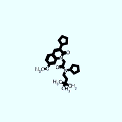 COc1ccc2cc(C3CCCC3)c(=O)n(CC(=O)N(CCC(C)(C)C)C3CCCC3)c2c1